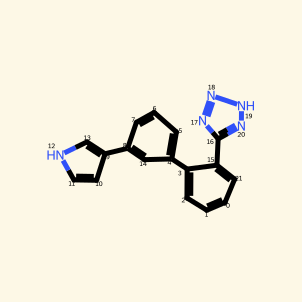 [c]1ccc(-c2cccc(-c3cc[nH]c3)c2)c(-c2nn[nH]n2)c1